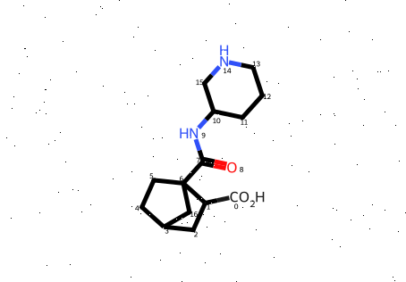 O=C(O)C1CC2CCC1(C(=O)NC1CCCNC1)C2